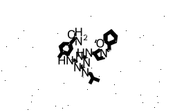 COc1ccccc1CN1CCC(Nc2nc(Nc3cc(C(N)=O)ccc3C)nc(N(C)CC(C)C)n2)C1